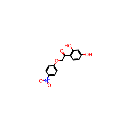 O=C(COc1ccc([N+](=O)[O-])cc1)c1ccc(O)cc1O